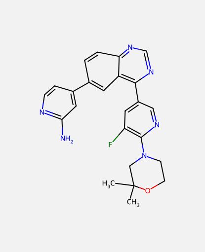 CC1(C)CN(c2ncc(-c3ncnc4ccc(-c5ccnc(N)c5)cc34)cc2F)CCO1